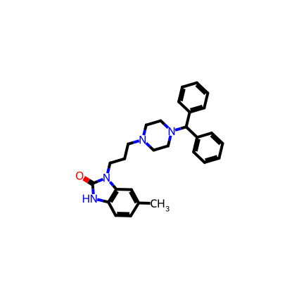 Cc1ccc2[nH]c(=O)n(CCCN3CCN(C(c4ccccc4)c4ccccc4)CC3)c2c1